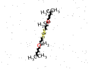 CC(C)CCCCO[SiH2]CCCSSSSCCC[SiH2]OCCCCC(C)C